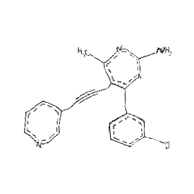 Cc1nc(N)nc(-c2cccc(Cl)c2)c1C#Cc1cccnc1